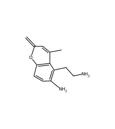 C=C1C=C(C)c2c(ccc(N)c2CCN)O1